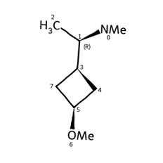 CN[C@H](C)[C@H]1C[C@@H](OC)C1